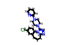 Clc1ccc2c(c1)C=CCc1nnc(N3CCN(c4ccccn4)CC3)n1-2